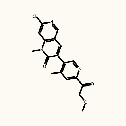 COCC(=O)c1cc(C)c(-c2cc3cnc(Cl)cc3n(C)c2=O)cn1